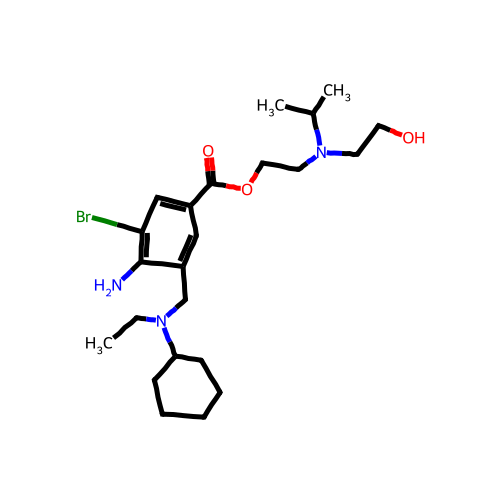 CCN(Cc1cc(C(=O)OCCN(CCO)C(C)C)cc(Br)c1N)C1CCCCC1